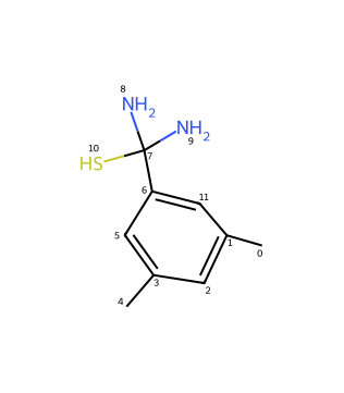 Cc1cc(C)cc(C(N)(N)S)c1